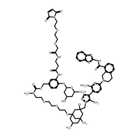 CCC1(Cn2ncc(-c3ccc(N4CCc5cccc(C(=O)Nc6nc7ccccc7s6)c5C4)nc3C(=O)O)c2C)CC2(C)CC(C)CC(OCCOCCOCCN(C)C(=O)OCc3ccc(OC4CC(O)CC(C(=O)O)O4)c(NC(=O)CCNC(=O)COCCOCCN4C(=O)C=CC4=O)c3)(C2)C1